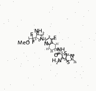 COCC(F)(F)C1CN(c2cc(F)c3c(n2)CCC(NC(=O)c2sc4nc(C)sc4c2N)C3)CC1N